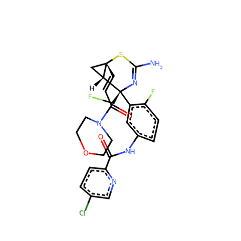 NC1=N[C@](CF)(c2cc(NC(=O)c3ccc(Cl)cn3)ccc2F)[C@@H]2C[C@]2(/C=C/C(=O)N2CCOCC2)S1